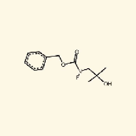 CC(C)(O)CN(F)C(=O)OCc1ccccc1